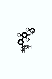 COc1ccc(CN2CCCC2=O)c(OC)c1-c1cccc([NH+]([O-])O)c1